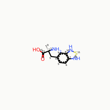 C[C@](N)(Cc1ccc2c(c1)NSN2)C(=O)O